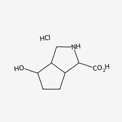 Cl.O=C(O)C1NCC2C(O)CCC12